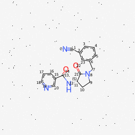 N#Cc1cccc(CN2CC[C@H](NC(=O)c3cccnc3)C2=O)c1